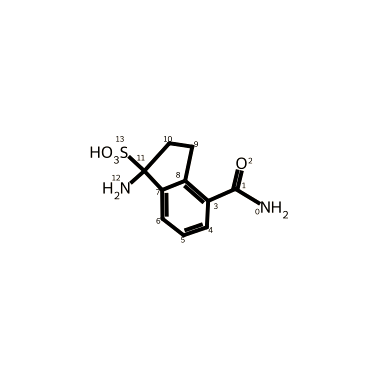 NC(=O)c1cccc2c1CCC2(N)S(=O)(=O)O